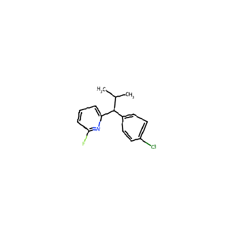 CC(C)C(c1ccc(Cl)cc1)c1cccc(F)n1